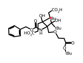 CC(C)(C)OC(=O)CCOCC(NC(=O)OCc1ccccc1)(C(O)(CCC(=O)O)CCC(=O)O)C(O)(C(C)(C)C)C(C)(C)C